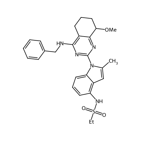 CCS(=O)(=O)Nc1cccc2c1cc(C)n2-c1nc(NCc2ccccc2)c2c(n1)C(OC)CCC2